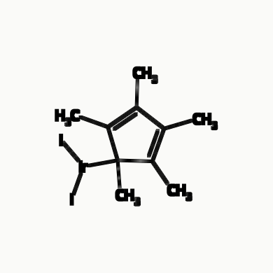 CC1=C(C)[C](C)([Ir]([I])[I])C(C)=C1C